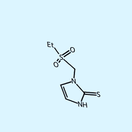 CCS(=O)(=O)Cn1cc[nH]c1=S